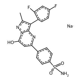 Cc1nn2c(O)cc(-c3ccc(S(N)(=O)=O)cc3)nc2c1-c1ccc(F)cc1F.[Na]